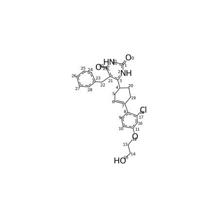 O=c1[nH]c(C2CC=C(c3ccc(OCCO)cc3Cl)CC2)c(Cc2ccccc2)c(=O)[nH]1